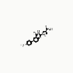 Cc1ccc(-c2ccc3nc(-n4cc(C(=O)O)cn4)[nH]c(=O)c3c2)cc1